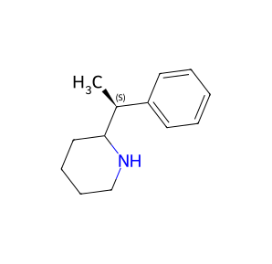 C[C@@H](c1ccccc1)C1CCCCN1